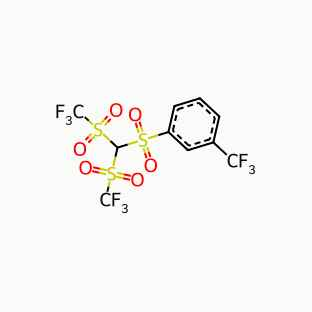 O=S(=O)(c1cccc(C(F)(F)F)c1)C(S(=O)(=O)C(F)(F)F)S(=O)(=O)C(F)(F)F